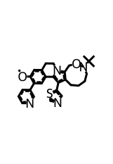 COc1cc2c(cc1-c1cccnc1)-c1c(-c3cncs3)c3c(n1CC2)CON(C(C)(C)C)CCCC3